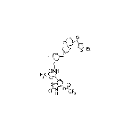 CCc1cc(C(=O)N2CCOC3(CCN(Cc4ccc(F)c(CCNC[C@H](OC(=O)C(F)(F)F)c5ccc(OC(=O)C(F)(F)F)c6[nH]c(=O)sc56)c4)CC3)C2)cs1